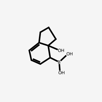 OB(O)C1C=CC=C2CCCC21O